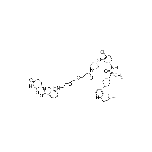 C[C@@H](C(=O)Nc1ccc(Cl)c(OC2CCN(C(=O)CCOCCOCCNc3cccc4c3CN(C3CCC(=O)NC3=O)C4=O)CC2)c1)[C@H]1CC[C@@H](c2ccnc3ccc(F)cc32)CC1